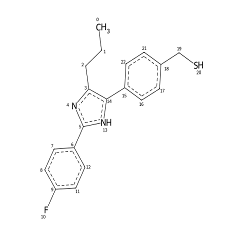 CCCc1nc(-c2ccc(F)cc2)[nH]c1-c1ccc(CS)cc1